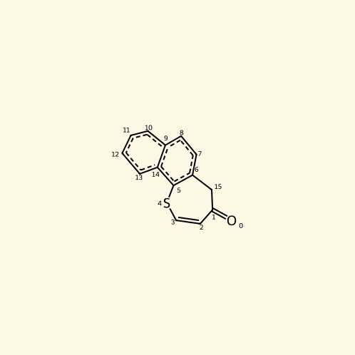 O=C1C=CSc2c(ccc3ccccc23)C1